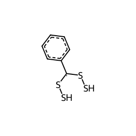 SS[C](SS)c1ccccc1